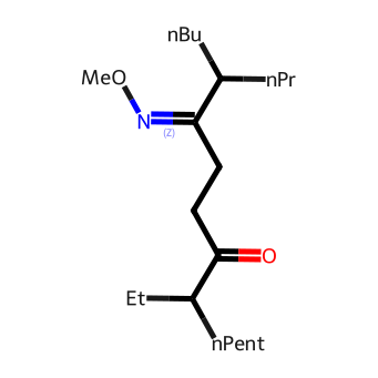 CCCCCC(CC)C(=O)CC/C(=N/OC)C(CCC)CCCC